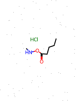 CCCCC(=O)ONC.Cl